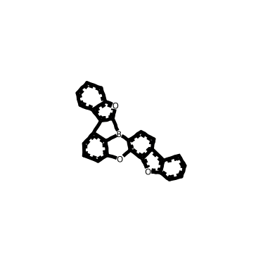 c1cc2c3c(c1)-c1c(oc4ccccc14)B3c1ccc3c(oc4ccccc43)c1O2